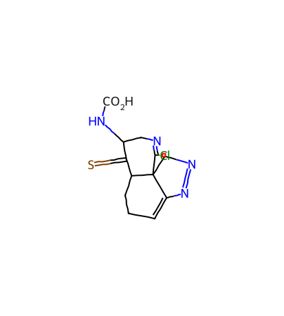 O=C(O)NC1CN=C(Cl)C23CN=NC2=CCCC3C1=S